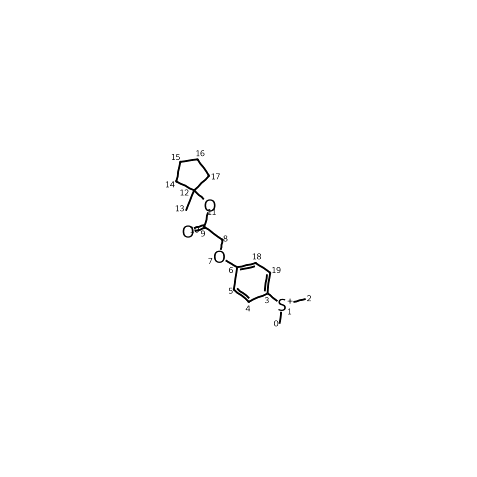 C[S+](C)c1ccc(OCC(=O)OC2(C)CCCC2)cc1